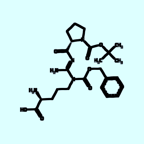 CC(C)(C)OC(=O)N1CCC[C@H]1C(=O)N=C(N)N(CCC[C@H](N)C(=O)O)C(=O)OCc1ccccc1